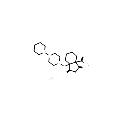 COC(=O)C12CCCCC1(NN1CCN(N3CCCCC3)CC1)C(=O)CC2=O.Cl.Cl